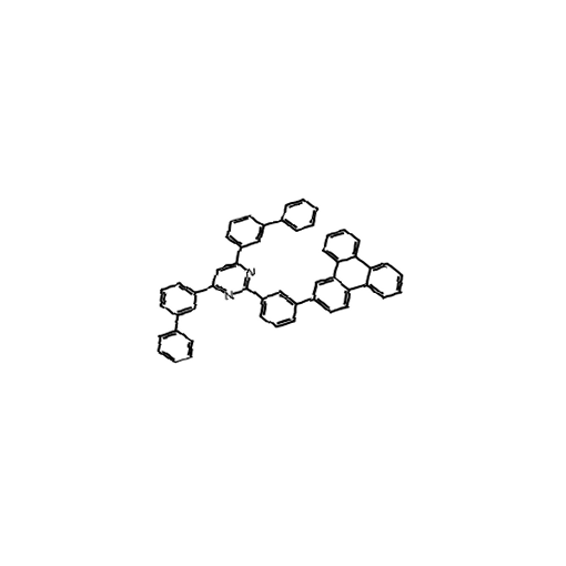 c1ccc(-c2cccc(-c3cc(-c4cccc(-c5ccccc5)c4)nc(-c4cccc(-c5ccc6c7ccccc7c7ccccc7c6c5)c4)n3)c2)cc1